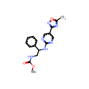 CC(C)(C)OC(=O)NCC(Nc1ncc(-c2noc(C(F)(F)F)n2)cn1)c1ccccc1